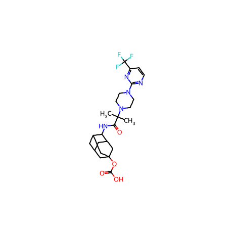 CC(C)(C(=O)NC1C2CC3CC1CC(OC(=O)O)(C3)C2)N1CCN(c2nccc(C(F)(F)F)n2)CC1